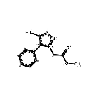 COC(=O)Cn1nnc(C)c1-c1ccccc1